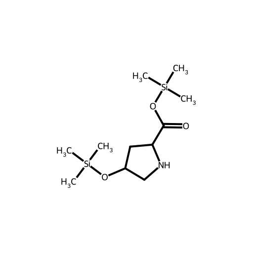 C[Si](C)(C)OC(=O)C1CC(O[Si](C)(C)C)CN1